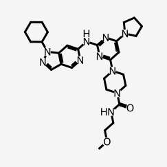 COCCNC(=O)N1CCN(c2cc(N3CCCC3)nc(Nc3cc4c(cn3)cnn4C3CCCCC3)n2)CC1